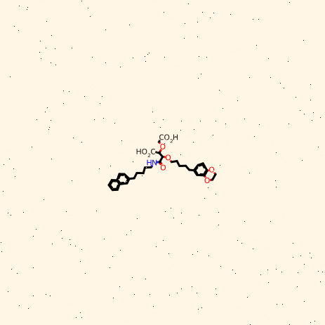 O=C(O)COC(C(=O)O)C(OCCCCCc1ccc2c(c1)OCCO2)C(=O)NCCCCCc1ccc2ccccc2c1